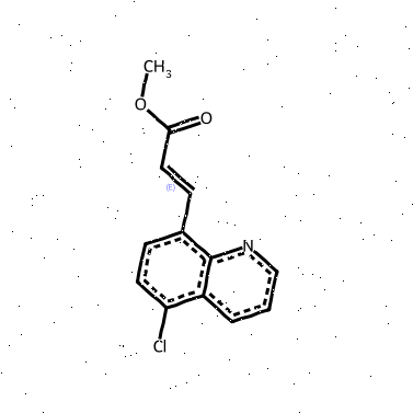 COC(=O)/C=C/c1ccc(Cl)c2cccnc12